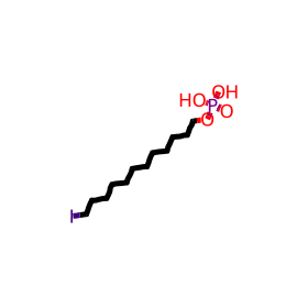 O=P(O)(O)OCCCCCCCCCCCCI